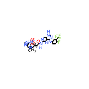 C[N+](C)(C/C=C/C(=O)Nc1cc2c(cn1)NCN=C2Nc1ccc(F)c(C(F)(F)F)c1)Cc1c([N+](=O)[O-])n2n1C2